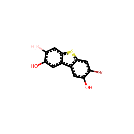 Bc1cc2sc3cc(Br)c(O)cc3c2cc1O